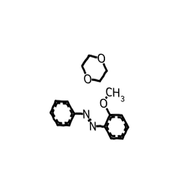 C1COCCO1.COc1ccccc1N=Nc1ccccc1